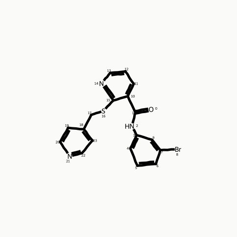 O=C(Nc1cccc(Br)c1)c1cccnc1SCc1ccncc1